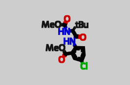 COC(=O)N[C@H](C(=O)Nc1ccc(Cl)cc1C(=O)OC)C(C)(C)C